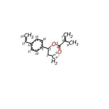 [CH2]CC(OC(=O)C(=C)C)c1ccc(C=C)cc1